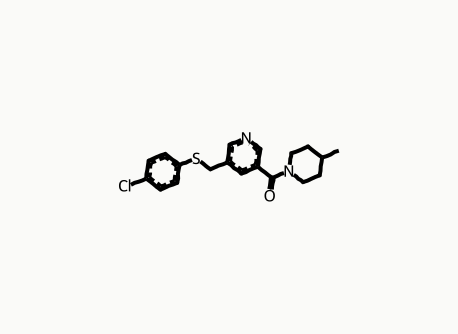 CC1CCN(C(=O)c2cncc(CSc3ccc(Cl)cc3)c2)CC1